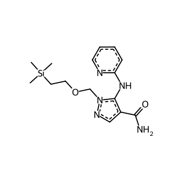 C[Si](C)(C)CCOCn1ncc(C(N)=O)c1Nc1ccccn1